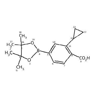 CC1(C)OB(c2ccc(C(=O)O)c(C3CC3)c2)OC1(C)C